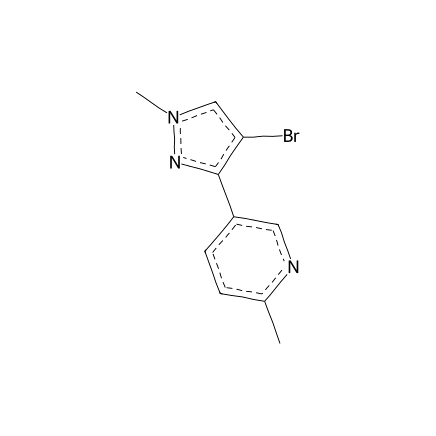 Cc1ccc(-c2nn(C)cc2Br)cn1